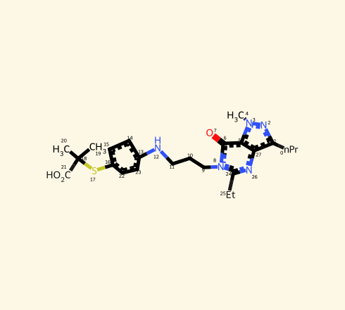 CCCc1nn(C)c2c(=O)n(CCCNc3ccc(SC(C)(C)C(=O)O)cc3)c(CC)nc12